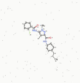 Cc1c(C(=O)Nc2ccc(CCC#N)cc2)nn(C(C)(C)C)c1NC(=O)c1ccccc1F